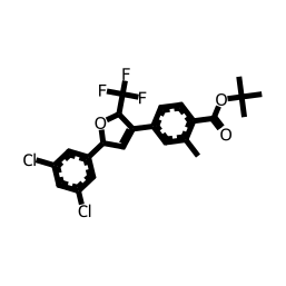 Cc1cc(C2=CC(c3cc(Cl)cc(Cl)c3)OC2C(F)(F)F)ccc1C(=O)OC(C)(C)C